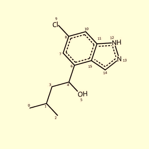 CC(C)CC(O)c1cc(Cl)cc2[nH]ncc12